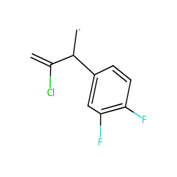 [CH2]C(C(=C)Cl)c1ccc(F)c(F)c1